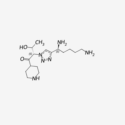 CC(O)[C@@H](C(=O)C1CCNCC1)n1cc([C@@H](N)CCCCN)nn1